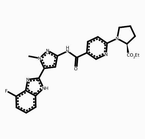 CCOC(=O)[C@@H]1CCCN1c1ccc(C(=O)Nc2cc(-c3nc4c(F)cccc4[nH]3)n(C)n2)cn1